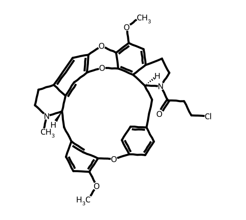 COc1ccc2cc1Oc1ccc(cc1)C[C@H]1c3c(cc(OC)c4c3Oc3cc5c(cc3O4)CCN(C)[C@H]5C2)CCN1C(=O)CCCl